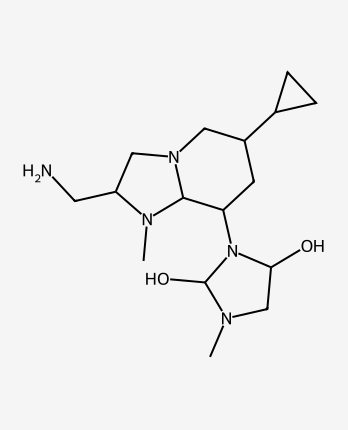 CN1CC(O)N(C2CC(C3CC3)CN3CC(CN)N(C)C23)C1O